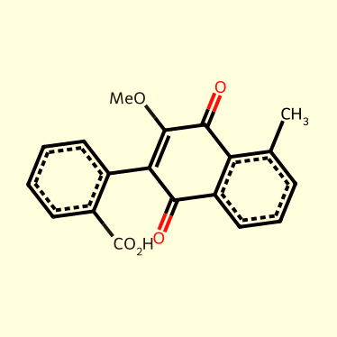 COC1=C(c2ccccc2C(=O)O)C(=O)c2cccc(C)c2C1=O